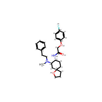 CN(CCc1ccccc1)[C@@H]1C[C@]2(CCCO2)CC[C@H]1NC(=O)COc1ccc(F)cc1